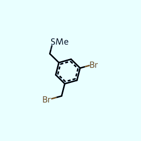 CSCc1cc(Br)cc(CBr)c1